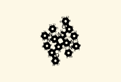 c1ccc(-n2c3ccccc3n(-c3ccccc3)c3cc4c(cc32)c2ccc(-c3cccc5c3oc3ccccc35)cc2c2cc3c(cc2c2ncc(-c5cccc6c5oc5ccccc56)cc42)n(-c2ccccc2)c2ccccc2n3-c2ccccc2)cc1